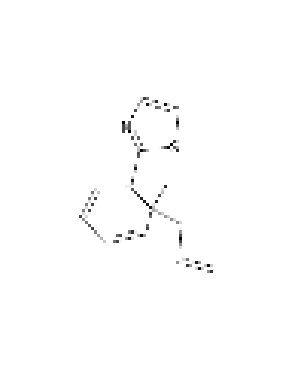 C=CCC1(C)C=CC=CC1c1nccs1